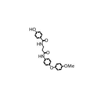 COc1ccc(Oc2ccc(NC(=O)CCNC(=O)c3ccc(O)cc3)cc2)cc1